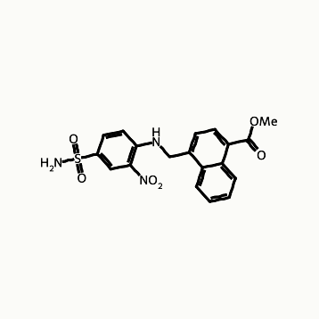 COC(=O)c1ccc(CNc2ccc(S(N)(=O)=O)cc2[N+](=O)[O-])c2ccccc12